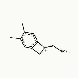 CNC[C@H]1Cc2cc(C)c(C)cc21